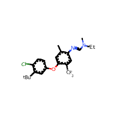 CCN(C)C=Nc1cc(C(F)(F)F)c(Oc2ccc(Cl)c(C(C)(C)C)c2)cc1C